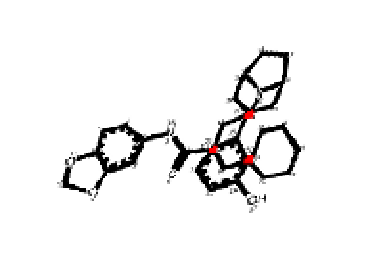 O=C(Nc1ccc2c(c1)OCO2)N(CCN1C2CCC1CC(c1cccc(O)c1)C2)CC1CCCCC1